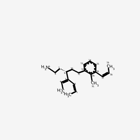 C/C=C\C(=C/C)[C@H](CCN)CCc1cccc(/C=C\C)c1C